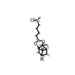 CN(Cl)CCCCB1OC2C[C@@H]3CC(C2(C)O1)C3(C)C